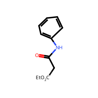 CCOC(=O)CC(=O)Nc1ccccc1